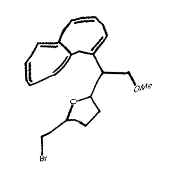 COCC(c1cccc2ccccc12)C1CCC(CBr)O1